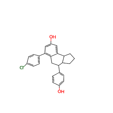 Oc1ccc(C2Cc3c(-c4ccc(Cl)cc4)cc(O)cc3C3CCCC23)cc1